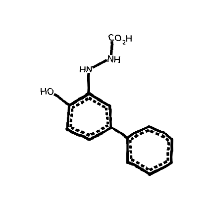 O=C(O)NNc1cc(-c2ccccc2)ccc1O